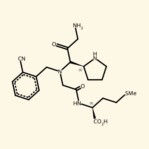 CSCC[C@H](NC(=O)CN(Cc1ccccc1C#N)C(C(=O)CN)[C@@H]1CCCN1)C(=O)O